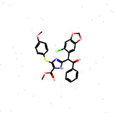 COC(=O)c1[nH]c(C(C(=O)c2ccccc2)c2cc3c(cc2Cl)OCO3)nc1Sc1ccc(OC)cc1